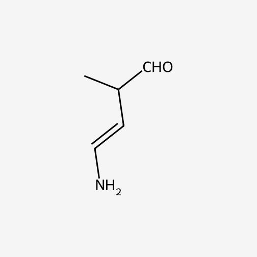 CC(C=O)C=CN